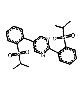 CC(C)S(=O)(=O)c1ccccc1-c1cnc(-c2ccccc2S(=O)(=O)C(C)C)nc1